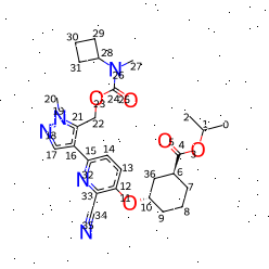 CC(C)OC(=O)[C@H]1CCC[C@H](Oc2ccc(-c3cnn(C)c3COC(=O)N(C)C3CCC3)nc2C#N)C1